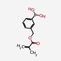 C=C(C)C(=O)OCc1cccc(B(O)O)c1